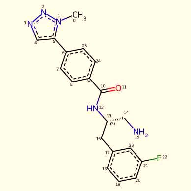 Cn1nncc1-c1ccc(C(=O)N[C@H](CN)Cc2cccc(F)c2)cc1